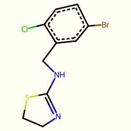 Clc1ccc(Br)cc1CNC1=NCCS1